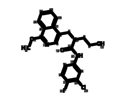 COc1ncc(CN(CCO)C(=O)Nc2ccc(F)c(Cl)c2)c2ccccc12